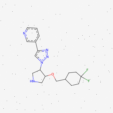 FC1(F)CCC(COC2CNCC2n2cc(-c3cccnc3)nn2)CC1